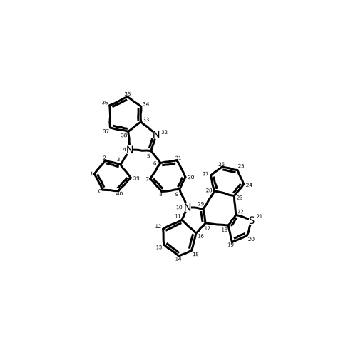 c1ccc(-n2c(-c3ccc(-n4c5ccccc5c5c6ccsc6c6ccccc6c54)cc3)nc3ccccc32)cc1